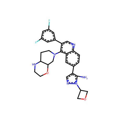 Nc1c(-c2ccc3ncc(-c4cc(F)cc(F)c4)c(N4CCC5NCCOC5C4)c3c2)cnn1C1COC1